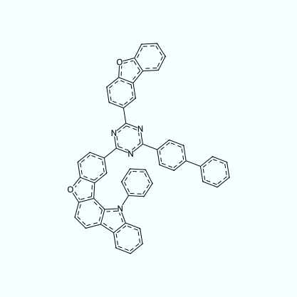 c1ccc(-c2ccc(-c3nc(-c4ccc5oc6ccccc6c5c4)nc(-c4ccc5oc6ccc7c8ccccc8n(-c8ccccc8)c7c6c5c4)n3)cc2)cc1